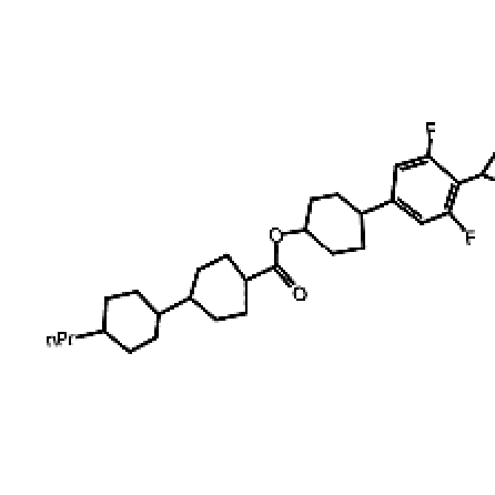 CCCC1CCC(C2CCC(C(=O)OC3CCC(c4cc(F)c(C5CO5)c(F)c4)CC3)CC2)CC1